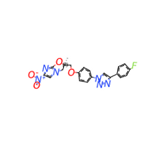 C[C@]1(COc2ccc(-n3cc(-c4ccc(F)cc4)nn3)cc2)Cn2cc([N+](=O)[O-])nc2O1